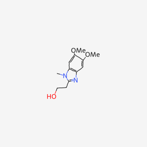 COc1cc2nc(CCO)n(C)c2cc1OC